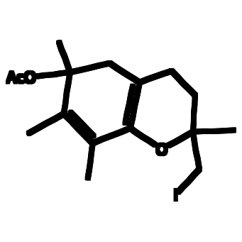 CC(=O)OC1(C)CC2=C(OC(C)(CI)CC2)C(C)=C1C